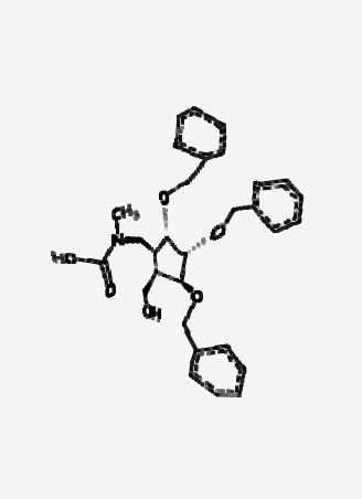 CN(C(=O)O)[C@@H]1[C@H](CO)[C@H](OCc2ccccc2)[C@@H](OCc2ccccc2)[C@H]1OCc1ccccc1